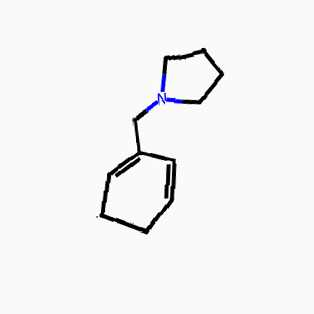 [CH]1C=C(CN2CCCC2)C=CC1